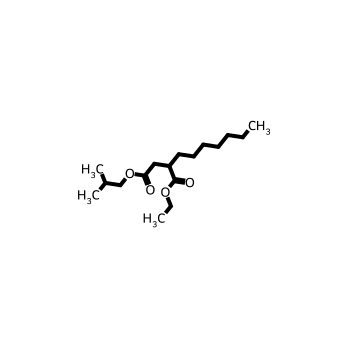 CCCCCCCC(CC(=O)OCC(C)C)C(=O)OCC